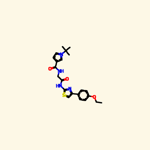 CCOc1ccc(-c2csc(NC(=O)CNC(=O)c3ccn(C(C)(C)C)c3)n2)cc1